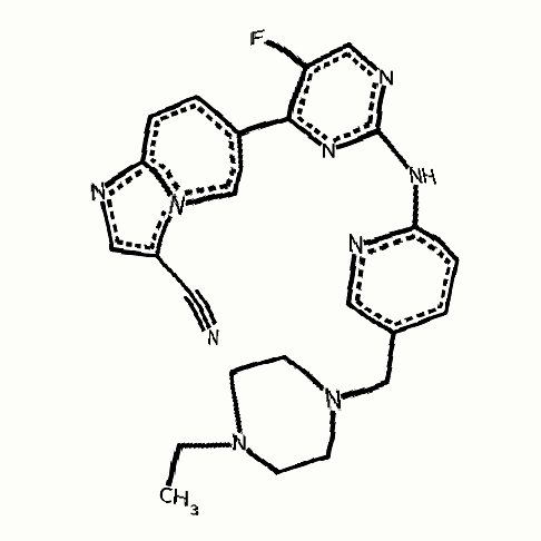 CCN1CCN(Cc2ccc(Nc3ncc(F)c(-c4ccc5ncc(C#N)n5c4)n3)nc2)CC1